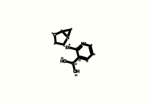 C1CN2CC2O1.CCc1ncccc1B(O)O